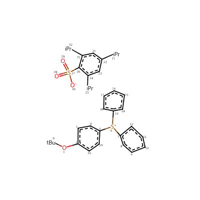 CC(C)(C)Oc1ccc([S+](c2ccccc2)c2ccccc2)cc1.CC(C)c1cc(C(C)C)c(S(=O)(=O)[O-])c(C(C)C)c1